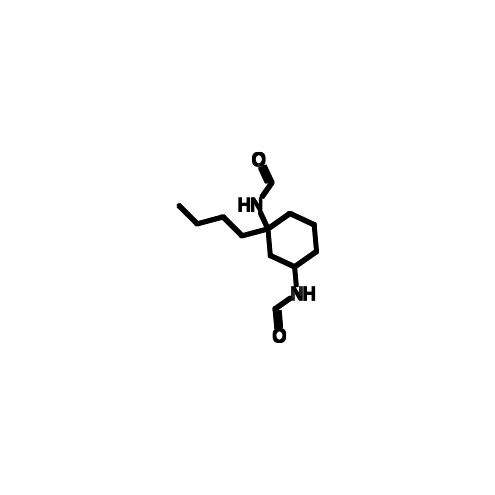 CCCCC1(NC=O)CCCC(NC=O)C1